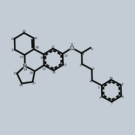 CC(CCCc1ccccc1)Oc1ccc2c(c1)C1=CCCCC1N1CCCC21